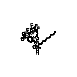 CCCCCCCCC(SCCCC(F)(F)C(F)(F)F)C(C)(O)C(=O)Nc1ccc([N+](=O)[O-])c(C(F)(F)F)c1